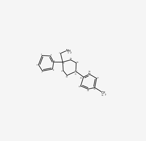 NCC1(c2ccccc2)CCN(c2ccc(C(F)(F)F)cn2)CC1